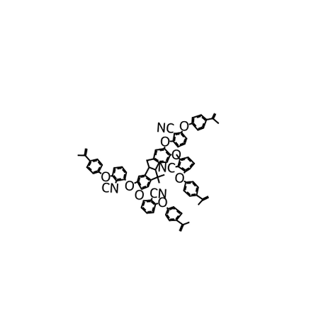 C=C(C)c1ccc(Oc2cccc(Oc3cc4c(cc3Oc3cccc(Oc5ccc(C(=C)C)cc5)c3C#N)C3C(C4)c4cc(Oc5cccc(Oc6ccc(C(=C)C)cc6)c5C#N)c(Oc5cccc(Oc6ccc(C(=C)C)cc6)c5C#N)cc4C3(C)C)c2C#N)cc1